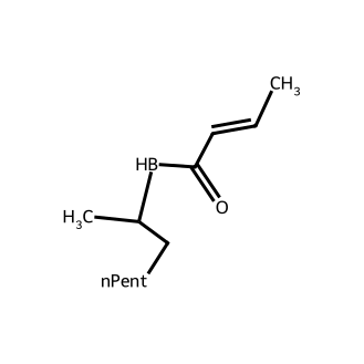 C/C=C/C(=O)BC(C)CCCCCC